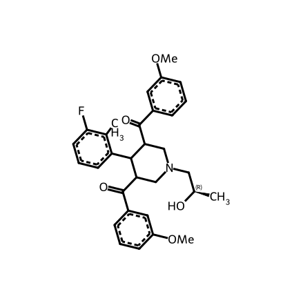 COc1cccc(C(=O)C2CN(C[C@@H](C)O)CC(C(=O)c3cccc(OC)c3)C2c2cccc(F)c2C)c1